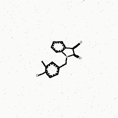 Cc1cc(CN2C(=O)C(=O)c3ccccc32)ccc1Cl